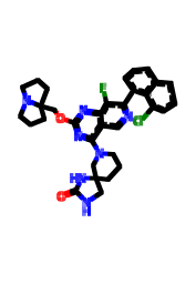 O=C1NCC2(CCCN(c3nc(OCC45CCCN4CCC5)nc4c(F)c(-c5cccc6cccc(Cl)c56)ncc34)C2)N1